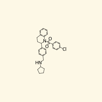 O=S(=O)(c1ccc(Cl)cc1)N1c2ccccc2CCC1c1ccc(CNC2CCCC2)cc1